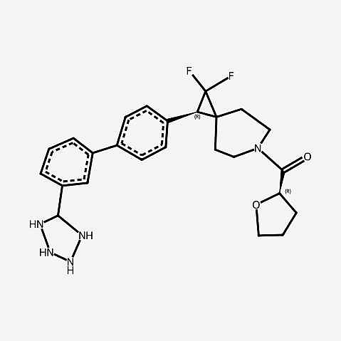 O=C([C@H]1CCCO1)N1CCC2(CC1)[C@@H](c1ccc(-c3cccc(C4NNNN4)c3)cc1)C2(F)F